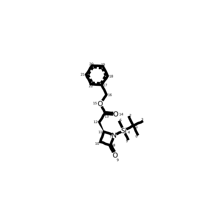 CC(C)(C)[Si](C)(C)N1C(=O)C[C@H]1CC(=O)OCc1ccccc1